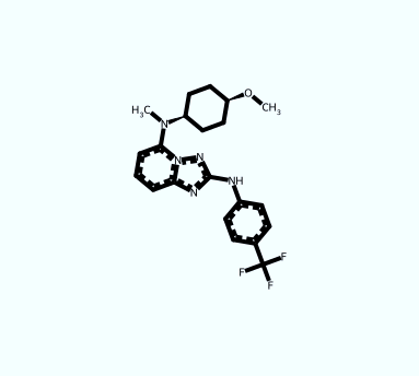 CO[C@H]1CC[C@@H](N(C)c2cccc3nc(Nc4ccc(C(F)(F)F)cc4)nn23)CC1